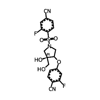 N#Cc1ccc(S(=O)(=O)N2CC(Oc3ccc(C#N)c(F)c3)[C@](O)(CO)C2)c(F)c1